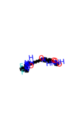 O=C1CCC(NC(=O)c2ccc(C3CCN(C(=O)CCCCCCCNC(=O)c4cnn5ccc(N6CCC[C@@H]6c6cc(F)ccc6F)nc45)CC3)cc2)C(=O)N1